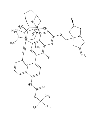 C=C1CN2C[C@H](F)CC2(COc2nc3c4c(nc(-c5ccc(NC(=O)OC(C)(C)C)c6cccc(C#C[Si](C(C)C)(C(C)C)C(C)C)c56)c(F)c4n2)OC(C)C2C4CCC(CN32)N4C(=O)O)C1